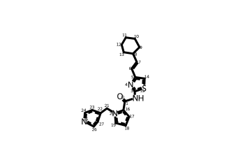 O=C(Nc1nc(C=CC2CCCCC2)cs1)c1cccn1Cc1ccncc1